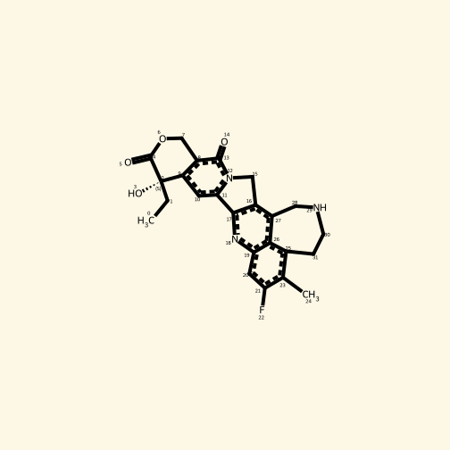 CC[C@@]1(O)C(=O)OCc2c1cc1n(c2=O)Cc2c-1nc1cc(F)c(C)c3c1c2CNCC3